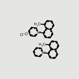 Cc1cccc2cccc(-[n+]3ccccc3)c12.Cc1cccc2cccc(-[n+]3ccccc3)c12.[Cl-].[Cl-]